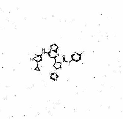 O=C(Nc1ccc(F)nc1)[C@@H]1C[C@H](n2cncn2)CN1c1nc(Nc2cc(C3CC3)[nH]n2)n2cccc2n1